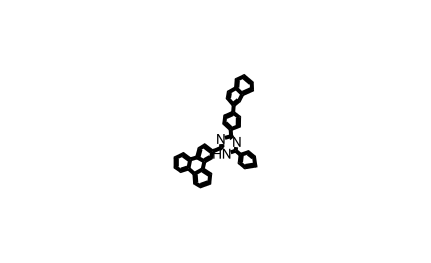 c1ccc(C2N=C(c3ccc(-c4ccc5ccccc5c4)cc3)N=C(c3ccc4c5ccccc5c5ccccc5c4c3)N2)cc1